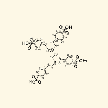 O=S(=O)(O)c1ccc(CCP(CCc2ccc(S(=O)(=O)O)cc2)CCP(CCc2ccc(S(=O)(=O)O)cc2)CCc2ccc(S(=O)(=O)O)cc2)cc1